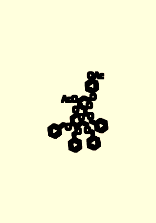 CC(=O)Oc1ccc(OC2CC(OC(C)=O)[C@H](OC3CC(OCc4ccccc4)[C@H](OCc4ccccc4)C(COCc4ccccc4)O3)C(COCc3ccccc3)O2)cc1